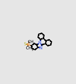 CP(C)(=S)c1ccc2nc3c4ccccc4c4ccccc4n3c2c1